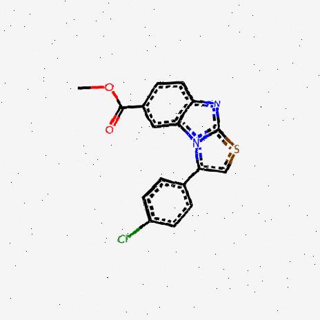 COC(=O)c1ccc2nc3scc(-c4ccc(Cl)cc4)n3c2c1